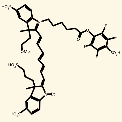 CCN1/C(=C/C=C/C=C/C=C/C2=[N+](CCCCCC(=O)Oc3c(F)c(F)c(S(=O)(=O)O)c(F)c3F)c3ccc(S(=O)(=O)O)cc3C2(C)CCOC)C(C)(CCCS(=O)(=O)O)c2cc(S(=O)(=O)O)ccc21